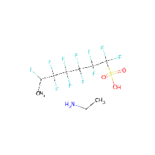 CC(F)C(F)(F)C(F)(F)C(F)(F)C(F)(F)C(F)(F)S(=O)(=O)O.CCN